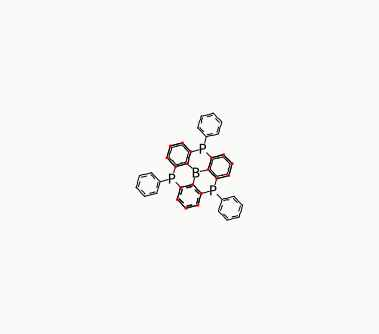 c1ccc(P(c2ccccc2)c2ccccc2B(c2ccccc2P(c2ccccc2)c2ccccc2)c2ccccc2P(c2ccccc2)c2ccccc2)cc1